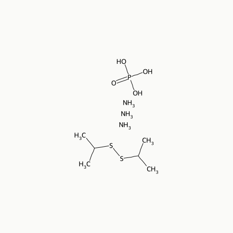 CC(C)SSC(C)C.N.N.N.O=P(O)(O)O